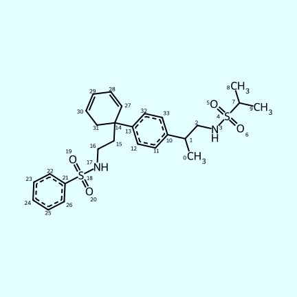 CC(CNS(=O)(=O)C(C)C)c1ccc(C2(CCNS(=O)(=O)c3ccccc3)C=CC=CC2)cc1